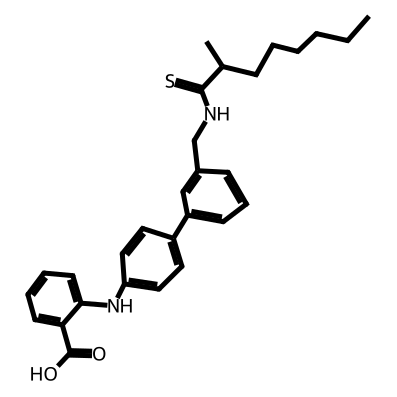 CCCCCCC(C)C(=S)NCc1cccc(-c2ccc(Nc3ccccc3C(=O)O)cc2)c1